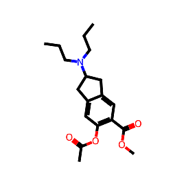 CCCN(CCC)C1Cc2cc(OC(C)=O)c(C(=O)OC)cc2C1